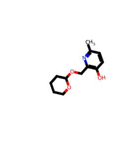 Cc1ccc(O)c(COC2CCCCO2)n1